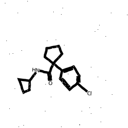 O=C(NC1CCC1)C1(c2ccc(Cl)cc2)CCCC1